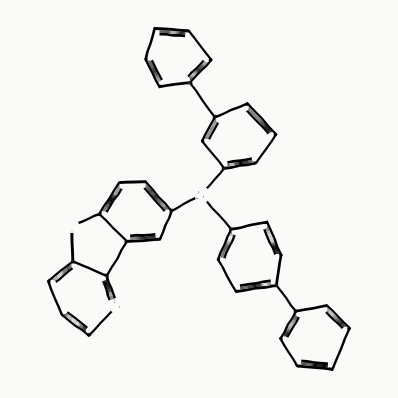 c1ccc(-c2ccc(N(c3cccc(-c4ccccc4)c3)c3ccc4oc5cccnc5c4c3)cc2)cc1